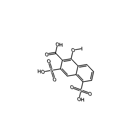 O=C(O)c1c(S(=O)(=O)O)cc2c(S(=O)(=O)O)cccc2c1OI